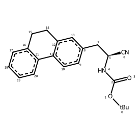 CC(C)(C)OC(=O)N[C@H](C#N)Cc1ccc2c(c1)CCc1ccccc1-2